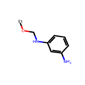 CCOCNc1cccc(N)c1